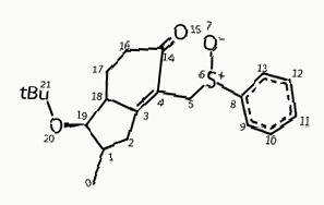 CC1CC2=C(C[S+]([O-])c3ccccc3)C(=O)CCC2[C@@H]1OC(C)(C)C